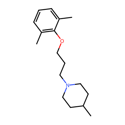 Cc1cccc(C)c1OCCCN1CCC(C)CC1